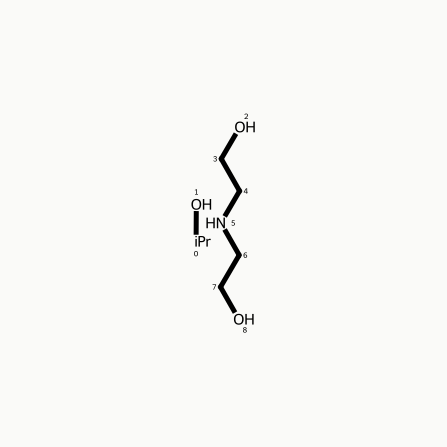 CC(C)O.OCCNCCO